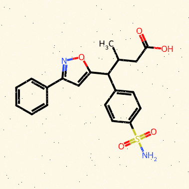 CC(CC(=O)O)C(c1ccc(S(N)(=O)=O)cc1)c1cc(-c2ccccc2)no1